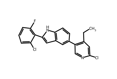 CCc1cc(Cl)ncc1-c1ccc2[nH]c(-c3c(F)cccc3Cl)cc2c1